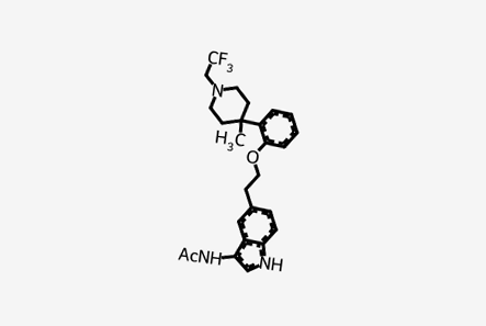 CC(=O)Nc1c[nH]c2ccc(CCOc3ccccc3C3(C)CCN(CC(F)(F)F)CC3)cc12